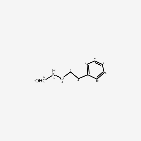 O=[C]NOCCc1ccccc1